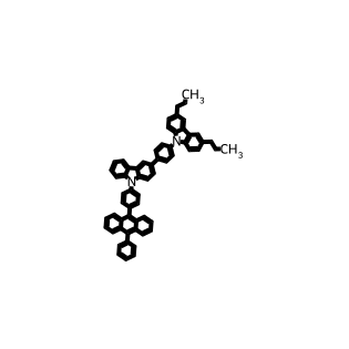 CCCc1ccc2c(c1)c1cc(CCC)ccc1n2-c1ccc(-c2ccc3c(c2)c2ccccc2n3-c2ccc(-c3c4ccccc4c(-c4ccccc4)c4ccccc34)cc2)cc1